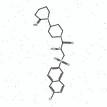 N=C1CCCCN1C1CCN(C(=O)[C@H](O)CS(=O)(=O)c2ccc3cc(Cl)ccc3c2)CC1